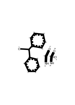 Cl.ClC(c1ccccc1)c1ccccc1.N=C=O.N=C=O